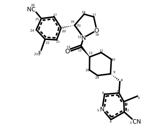 Cc1c(C#N)cncc1C[C@H]1CC[C@H](C(=O)N2OCC[C@H]2c2cc(F)cc(C#N)c2)CC1